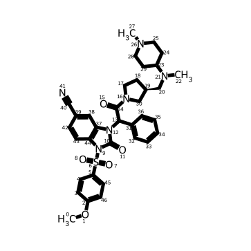 COc1ccc(S(=O)(=O)n2c(=O)n(C(C(=O)N3CC[C@@H](CN(C)C4CCN(C)CC4)C3)c3ccccc3)c3cc(C#N)ccc32)cc1